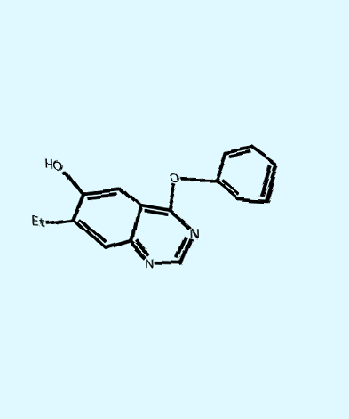 CCc1cc2ncnc(Oc3ccccc3)c2cc1O